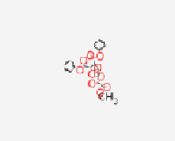 COC(=O)C(=O)OB1OC(C(=O)Oc2ccccc2)C(C(=O)Oc2ccccc2)O1